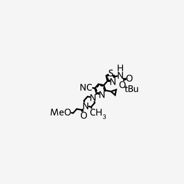 COCCC(=O)N1CCN(c2nc(C3CC3)c(-c3csc(NC(=O)OC(C)(C)C)n3)cc2C#N)CC1C